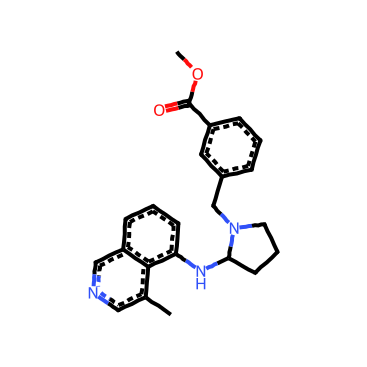 COC(=O)c1cccc(CN2CCCC2Nc2cccc3cncc(C)c23)c1